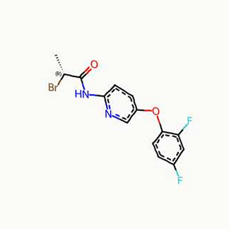 C[C@@H](Br)C(=O)Nc1ccc(Oc2ccc(F)cc2F)cn1